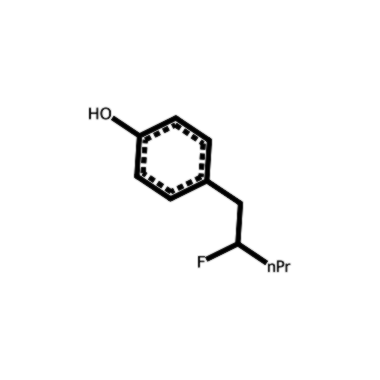 CCCC(F)Cc1ccc(O)cc1